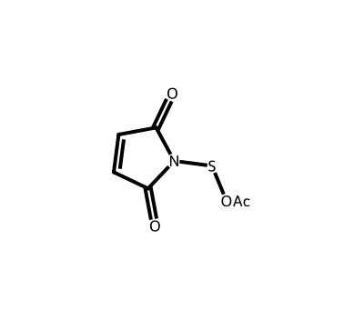 CC(=O)OSN1C(=O)C=CC1=O